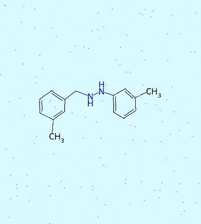 Cc1cccc(CNNc2cccc(C)c2)c1